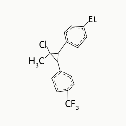 CCc1ccc(C2C(c3ccc(C(F)(F)F)cc3)C2(C)Cl)cc1